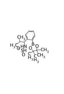 CC(C)C(N[SH](=O)=O)c1ccccc1B1OC(C)(C)C(C)(C)O1